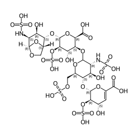 O=C(O)C1=C[C@H](O)[C@@H](OS(=O)(=O)O)[C@H](O[C@H]2[C@H](O)[C@@H](NS(=O)(=O)O)C(O[C@H]3[C@H](O)[C@@H](OS(=O)(=O)O)[C@H](O[C@H]4[C@H](O)[C@H](NS(=O)(=O)O)[C@@H]5OC[C@@H]4O5)O[C@H]3C(=O)O)O[C@@H]2COS(=O)(=O)O)O1